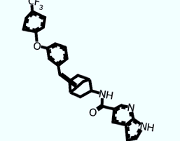 O=C(NC1CC2CCC1C/C2=C\c1cccc(Oc2ccc(C(F)(F)F)cc2)c1)c1cnc2[nH]ccc2c1